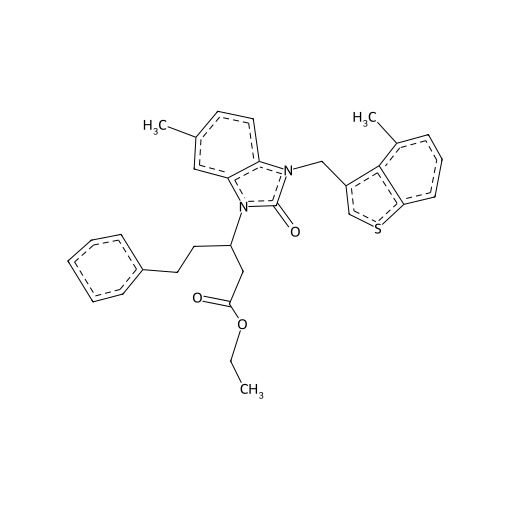 CCOC(=O)CC(CCc1ccccc1)n1c(=O)n(Cc2csc3cccc(C)c23)c2ccc(C)cc21